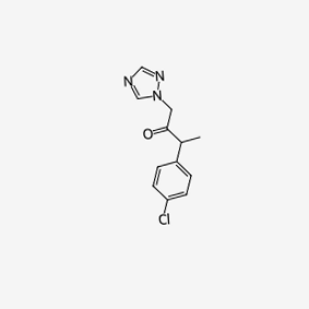 CC(C(=O)Cn1cncn1)c1ccc(Cl)cc1